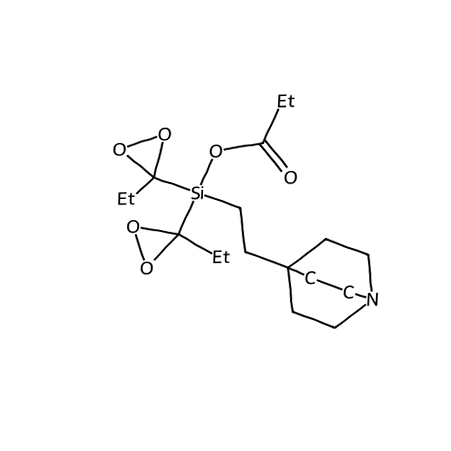 CCC(=O)O[Si](CCC12CCN(CC1)CC2)(C1(CC)OO1)C1(CC)OO1